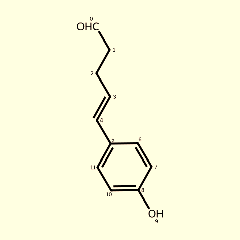 O=CCCC=Cc1ccc(O)cc1